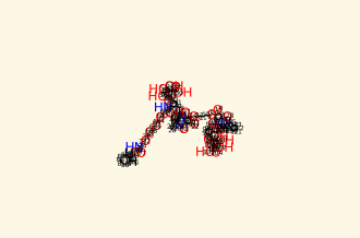 COc1cc2c(cc1OCCCCCOc1cc3c(cc1OC)C(=O)N1CC4(CC4)C[C@H]1[C@H](OC)N3C(=O)OCc1ccc(O[C@@H]3O[C@H](C(=O)O)[C@@H](O)[C@H](O)[C@H]3O)c(NC(=O)CCOCCOCCOCCOCCNC(=O)OCC3[C@H]4CCC#CCC[C@@H]34)c1)N(C(=O)OCc1ccc(O[C@@H]3O[C@H](C(=O)O)[C@@H](O)[C@H](O)[C@H]3O)cc1)[C@@H](OC)[C@@H]1Cc3ccccc3CN1C2=O